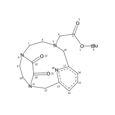 CC(C)(C)OC(=O)CN1CCN2CCN(Cc3cccc(n3)C1)C(=O)C2=O